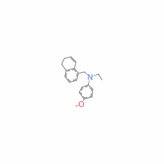 CCN(Cc1cccc2c1C=CCC2)c1ccc(OC)cc1